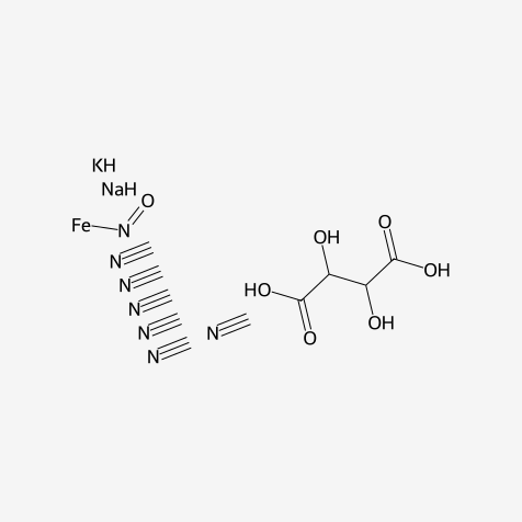 C#N.C#N.C#N.C#N.C#N.C#N.O=C(O)C(O)C(O)C(=O)O.O=[N][Fe].[KH].[NaH]